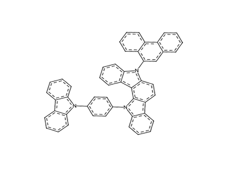 c1ccc2c(c1)cc(-n1c3ccccc3c3c1ccc1c4ccccc4n(-c4ccc(-n5c6ccccc6c6ccccc65)cc4)c13)c1ccccc12